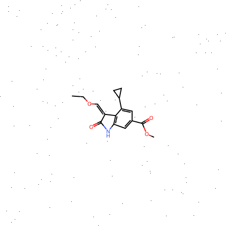 CCOC=C1C(=O)Nc2cc(C(=O)OC)cc(C3CC3)c21